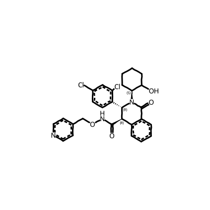 O=C(NOCc1ccncc1)[C@@H]1c2ccccc2C(=O)N([C@H]2CCCCC2O)[C@H]1c1ccc(Cl)cc1Cl